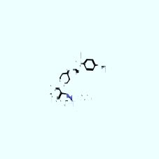 CO/N=C/c1c(N)ncnc1N1CCC(OC(=O)Nc2ccc(OC(C)C)cc2)CC1